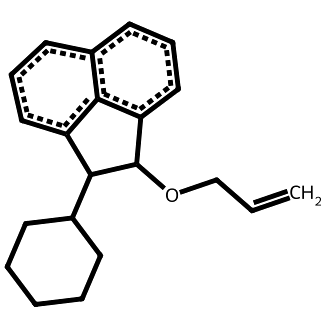 C=CCOC1c2cccc3cccc(c23)C1C1CCCCC1